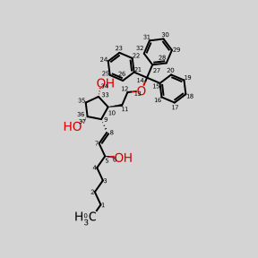 CCCCC[C@H](O)/C=C/[C@H]1[C@H](CCOC(c2ccccc2)(c2ccccc2)c2ccccc2)[C@@H](O)C[C@H]1O